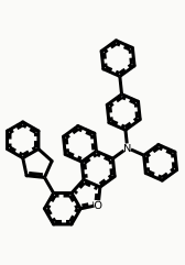 C1=C(c2cccc3oc4cc(N(c5ccccc5)c5ccc(-c6ccccc6)cc5)c5ccccc5c4c23)Cc2ccccc21